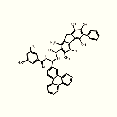 Bc1c2c(c(O)c(C)c1C(C)NC(NC(=N)c1cc(C)cc(C)c1)c1ccc3c4ccccc4c4ccccc4c3c1)-c1c(O)c(-c3ccccc3)c(O)c(O)c1C2